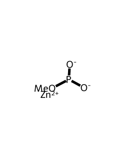 COP([O-])[O-].[Zn+2]